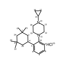 CC1(C)CC(c2ccccc2N2CCN(C3CC3)CC2)CC(C)(C)C1.Cl